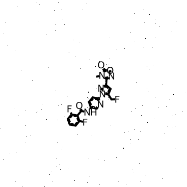 Cn1c(-c2cc(CF)n(-c3ccc(NC(=O)c4c(F)cccc4F)cn3)n2)noc1=O